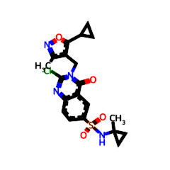 Cc1noc(C2CC2)c1Cn1c(Cl)nc2ccc(S(=O)(=O)NC3(C)CC3)cc2c1=O